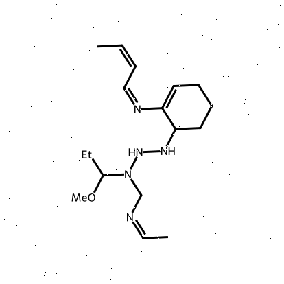 C/C=C\C=N/C1=CCCCC1NNN(C/N=C\C)C(CC)OC